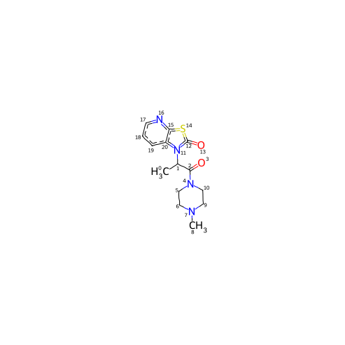 CC(C(=O)N1CCN(C)CC1)n1c(=O)sc2ncccc21